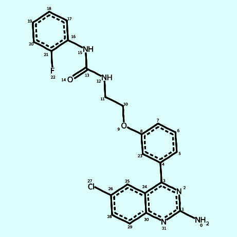 Nc1nc(-c2cccc(OCCNC(=O)Nc3ccccc3F)c2)c2cc(Cl)ccc2n1